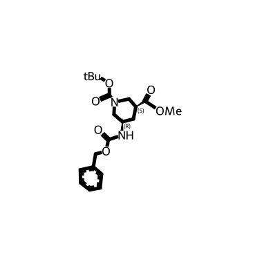 COC(=O)[C@H]1C[C@@H](NC(=O)OCc2ccccc2)CN(C(=O)OC(C)(C)C)C1